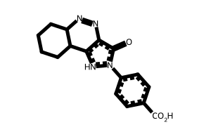 O=C(O)c1ccc(-n2[nH]c3c(c2=O)N=NC2CCCCC32)cc1